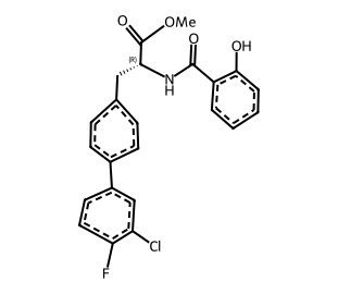 COC(=O)[C@@H](Cc1ccc(-c2ccc(F)c(Cl)c2)cc1)NC(=O)c1ccccc1O